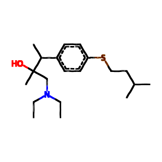 CCN(CC)CC(C)(O)C(C)c1ccc(SCCC(C)C)cc1